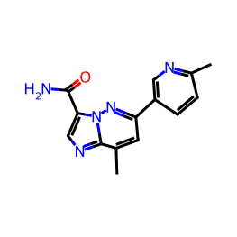 Cc1ccc(-c2cc(C)c3ncc(C(N)=O)n3n2)cn1